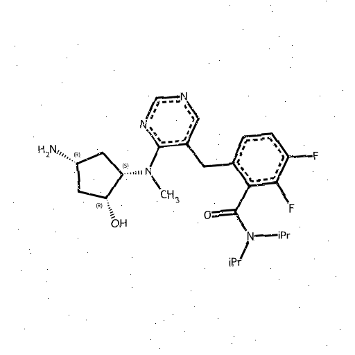 CC(C)N(C(=O)c1c(Cc2cncnc2N(C)[C@H]2C[C@@H](N)C[C@H]2O)ccc(F)c1F)C(C)C